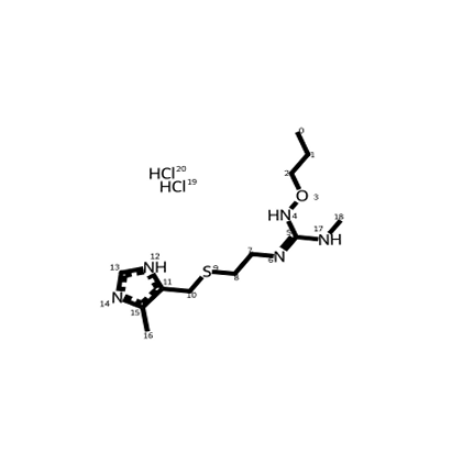 CCCONC(=NCCSCc1[nH]cnc1C)NC.Cl.Cl